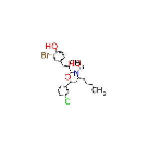 CCC/C=C(\C=C\c1cccc(Cl)c1)N(CO)C(=O)/C(C)=C/c1ccc(O)c(Br)c1